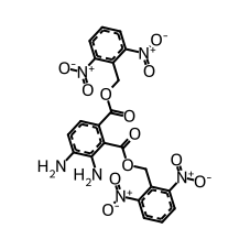 Nc1ccc(C(=O)OCc2c([N+](=O)[O-])cccc2[N+](=O)[O-])c(C(=O)OCc2c([N+](=O)[O-])cccc2[N+](=O)[O-])c1N